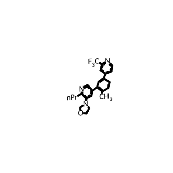 CCCc1ncc(C2=C(C)CCC(c3ccnc(C(F)(F)F)c3)=C2)cc1N1CCOC1